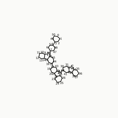 C1CCC(C2CCC(N3C4CCCCC4C4CC(C5CCC6C7CCCCC7N(C7CCC8SC9CCCCC9C8C7)C6C5)CCC43)CC2)CC1